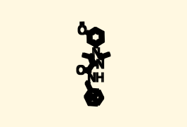 COc1cccc(-n2c(C)nc(C(=O)NCC3CCC4CC3C4(C)C)c2C)c1